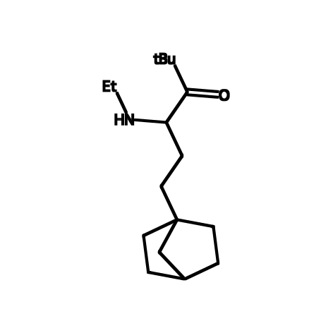 CCNC(CCC12CCC(CC1)C2)C(=O)C(C)(C)C